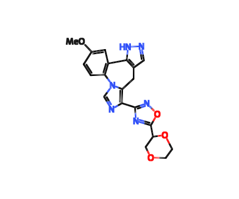 COc1ccc2c(c1)-c1[nH]ncc1Cc1c(-c3noc(C4COCCO4)n3)ncn1-2